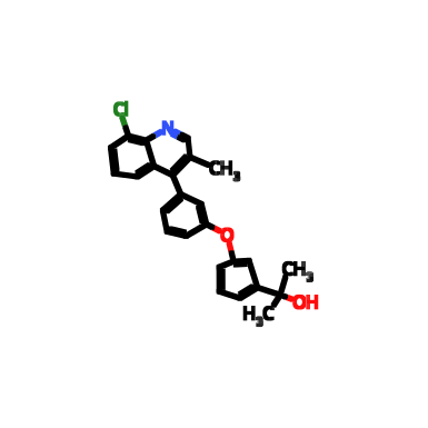 Cc1cnc2c(Cl)cccc2c1-c1cccc(Oc2cccc(C(C)(C)O)c2)c1